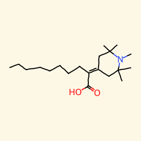 CCCCCCCCC(C(=O)O)=C1CC(C)(C)N(C)C(C)(C)C1